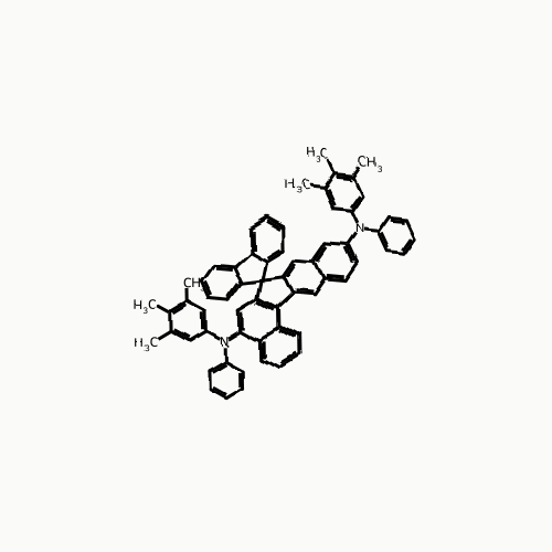 Cc1cc(N(c2ccccc2)c2ccc3cc4c(cc3c2)C2(c3ccccc3-c3ccccc32)c2cc(N(c3ccccc3)c3cc(C)c(C)c(C)c3)c3ccccc3c2-4)cc(C)c1C